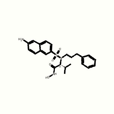 CC(C)[C@H](C(=O)NO)N(CCCc1ccccc1)S(=O)(=O)c1ccc2cc(N)ccc2c1